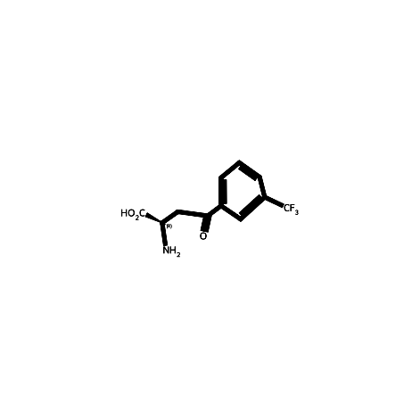 N[C@H](CC(=O)c1cccc(C(F)(F)F)c1)C(=O)O